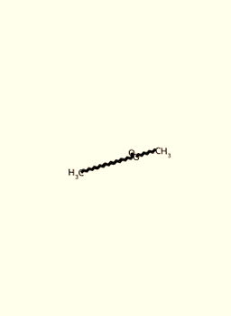 CCCCCC=CCC=CCC=CCC=CCCCC(=O)OCCCCCCCC